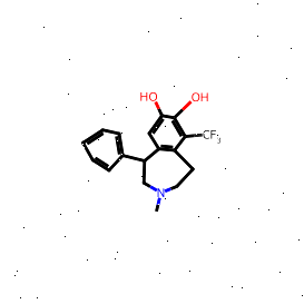 CN1CCc2c(cc(O)c(O)c2C(F)(F)F)C(c2ccccc2)C1